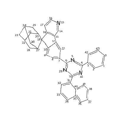 c1ccc(-c2nc(-c3ccc4c(c3)-c3cnccc3C43C4CC5CC(C4)CC3C5)nc(-c3cccc4ccccc34)n2)cc1